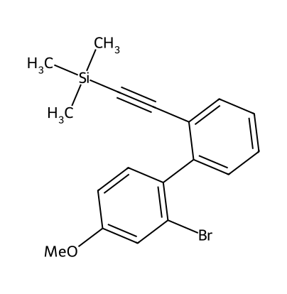 COc1ccc(-c2ccccc2C#C[Si](C)(C)C)c(Br)c1